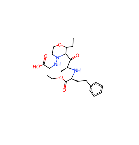 CCOC(=O)[C@H](CCc1ccccc1)N[C@@H](C)C(=O)C1C(CC)OCCN1NCC(=O)O